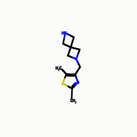 Cc1nc(CN2CC3(CNC3)C2)c(C)s1